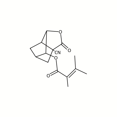 CC(C)=C(C)C(=O)OC1C2CC3C1OC(=O)C3(C#N)C2